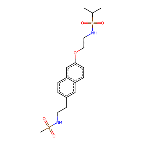 CC(C)S(=O)(=O)NCCOc1ccc2cc(CCNS(C)(=O)=O)ccc2c1